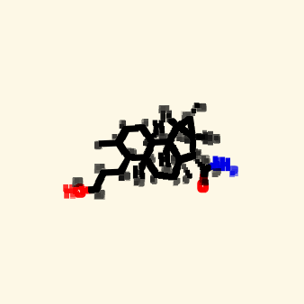 CC1CC[C@@H]2[C@H](CC[C@@]3(C)[C@H]2[C@@H]2[C@H](C)[C@@H]2[C@@H]3C(N)=O)[C@H]1CCCO